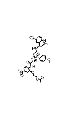 COc1ccc(S(=O)(=O)N(CCNc2cc(C)nc3ccc(Cl)cc23)CCC(=O)Nc2ccc([N+](=O)[O-])cc2OCCOC(C)=O)cc1